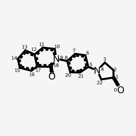 O=C1CCN(c2ccc(-n3ccc4ccccc4c3=O)cc2)C1